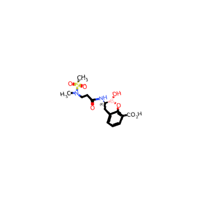 CN(CCC(=O)N[C@H]1Cc2cccc(C(=O)O)c2OB1O)S(C)(=O)=O